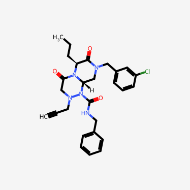 C#CCN1CC(=O)N2[C@@H](CCC)C(=O)N(Cc3cccc(Cl)c3)C[C@@H]2N1C(=O)NCc1ccccc1